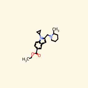 CCOC(=O)c1ccc2c(c1)cc(CN1CCCCC1C)n2C1CC1